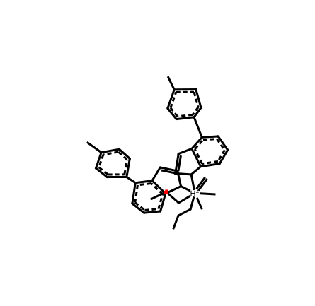 [CH2]=[Hf]([CH3])([CH3])([CH2]CC)([CH2]CC)([CH]1C=Cc2c(-c3ccc(C)cc3)cccc21)[CH]1C=Cc2c(-c3ccc(C)cc3)cccc21